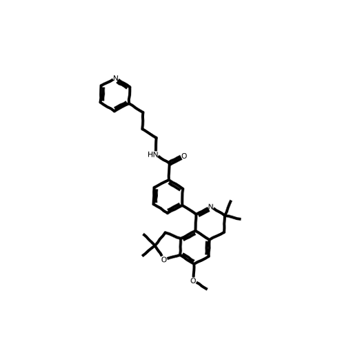 COc1cc2c(c3c1OC(C)(C)C3)C(c1cccc(C(=O)NCCCc3cccnc3)c1)=NC(C)(C)C2